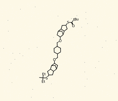 CCC(C)(CC)SC1CC2C3CC(OCC4CCC(COC5CC6CC5C5CC(SC(=O)C(C)(C)C)CC65)CC4)C(C3)C2C1